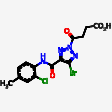 Cc1ccc(NC(=O)c2nn(C(=O)CCC(=O)O)nc2Br)c(Cl)c1